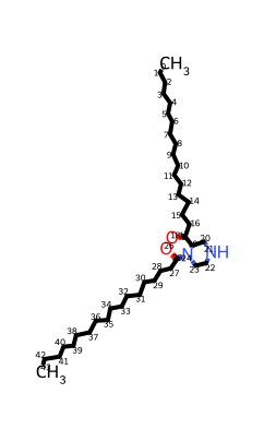 CCCCCCCCCCCCCCCCCC(=O)C1CNCCN1C(=O)CCCCCCCCCCCCCCCCC